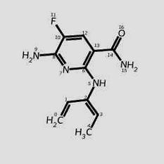 C=C/C(=C\C)Nc1nc(N)c(F)cc1C(N)=O